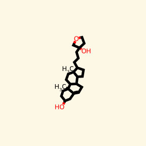 CC12CCC(O)CC1=CCC1C2CCC2(C)C(CCCC3(O)CCOC3)CCC12